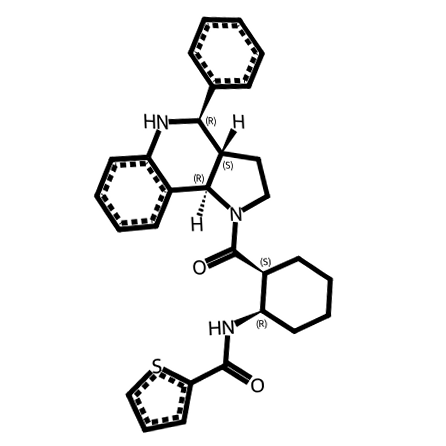 O=C(N[C@@H]1CCCC[C@@H]1C(=O)N1CC[C@H]2[C@H](c3ccccc3)Nc3ccccc3[C@@H]21)c1cccs1